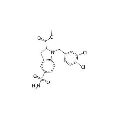 COC(=O)C1Cc2cc(S(N)(=O)=O)ccc2N1Cc1ccc(Cl)c(Cl)c1